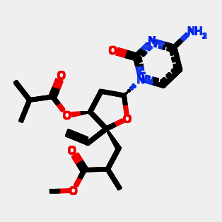 C=C[C@@]1(CC(C)C(=O)OC)O[C@@H](n2ccc(N)nc2=O)C[C@@H]1OC(=O)C(C)C